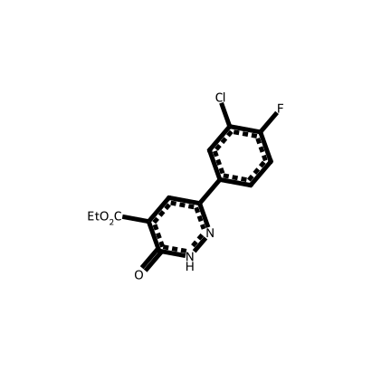 CCOC(=O)c1cc(-c2ccc(F)c(Cl)c2)n[nH]c1=O